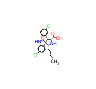 CCCCC[C@H]1N[C@@H](C(=O)O)[C@H](c2cccc(Cl)c2)[C@@]12C(=O)Nc1cc(Cl)ccc12